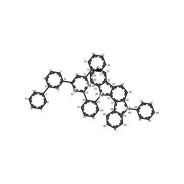 c1ccc(-c2cccc(-c3cc(-c4ccccc4)nc(-c4ccccc4-n4c5ccccc5c5ccc6c(c7ccccc7n6-c6ccccc6)c54)n3)c2)cc1